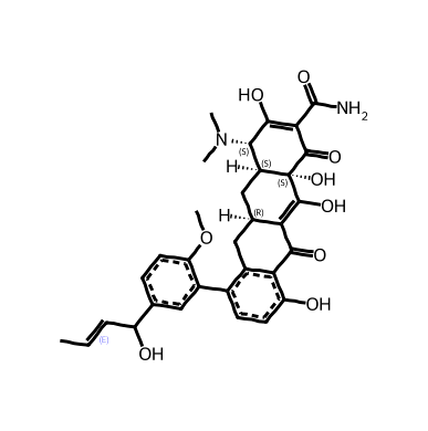 C/C=C/C(O)c1ccc(OC)c(-c2ccc(O)c3c2C[C@H]2C[C@H]4[C@H](N(C)C)C(O)=C(C(N)=O)C(=O)[C@@]4(O)C(O)=C2C3=O)c1